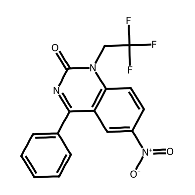 O=c1nc(-c2ccccc2)c2cc([N+](=O)[O-])ccc2n1CC(F)(F)F